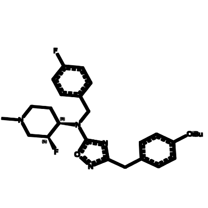 CC(C)COc1ccc(Cc2noc(N(Cc3ccc(F)cc3)[C@@H]3CCN(C)C[C@@H]3F)n2)cc1